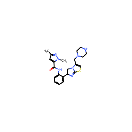 Cc1cc(C(=O)Nc2ccccc2C2CN3C(CN4CCNCC4)=CSC3=N2)n(C)n1